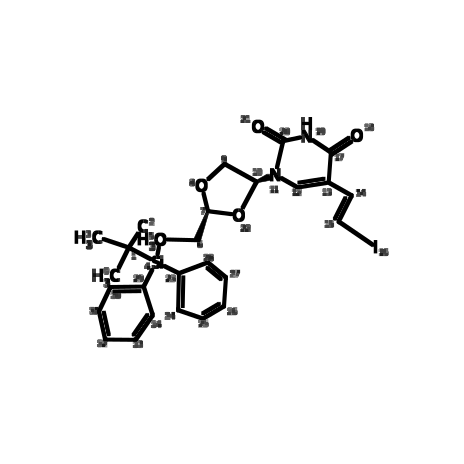 CC(C)(C)[Si](OC[C@H]1OC[C@@H](n2cc(C=CI)c(=O)[nH]c2=O)O1)(c1ccccc1)c1ccccc1